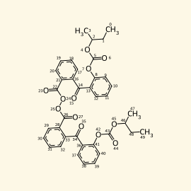 CCC(C)OC(=O)Oc1ccccc1C(=O)c1ccccc1C(=O)OOC(=O)c1ccccc1C(=O)c1ccccc1OC(=O)OC(C)CC